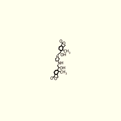 Cc1c([C@H](O)CN[C@@H]2CCN(C[C@H](O)c3ccc4c(c3C)COC4=O)C2)ccc2c1COC2=O